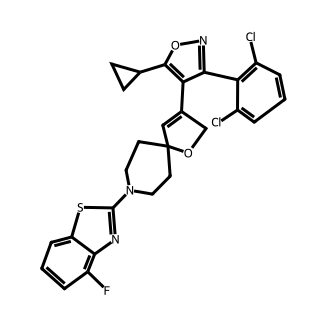 Fc1cccc2sc(N3CCC4(C=C(c5c(-c6c(Cl)cccc6Cl)noc5C5CC5)CO4)CC3)nc12